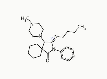 CCCC/N=C1/C(N2CCN(C)CC2)C2(CCCCC2)C(=O)N1c1ccccc1